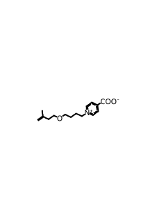 C=C(C)CCOCCCC[n+]1ccc(C(=O)[O-])cc1